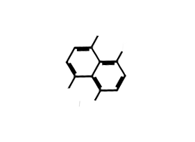 CCc1ccc(C)c2c(I)ccc(I)c12